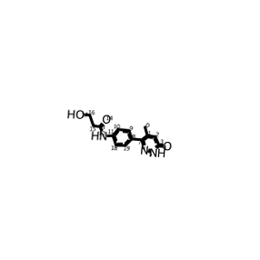 Cc1cc(=O)[nH]nc1-c1ccc(NC(=O)CCO)cc1